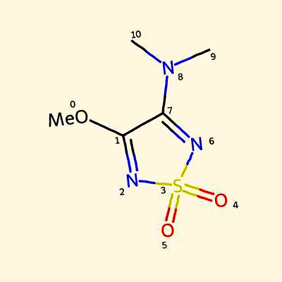 COC1=NS(=O)(=O)N=C1N(C)C